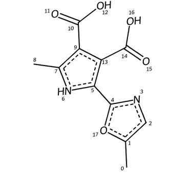 Cc1cnc(-c2[nH]c(C)c(C(=O)O)c2C(=O)O)o1